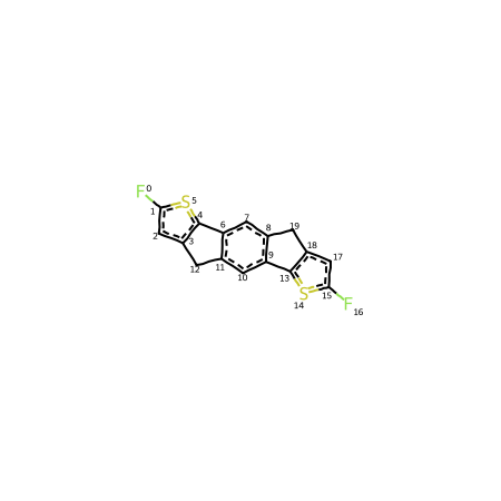 Fc1cc2c(s1)-c1cc3c(cc1C2)-c1sc(F)cc1C3